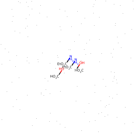 CCOC(N)=O.CCOC(N)=O.O=C(O)O.O=C(O)O